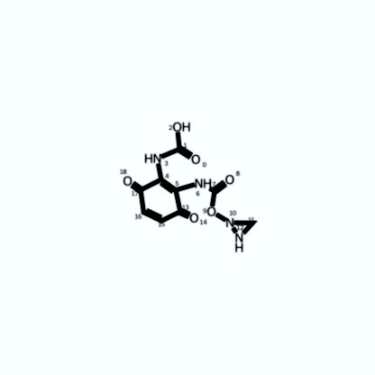 O=C(O)NC1=C(NC(=O)ON2CN2)C(=O)C=CC1=O